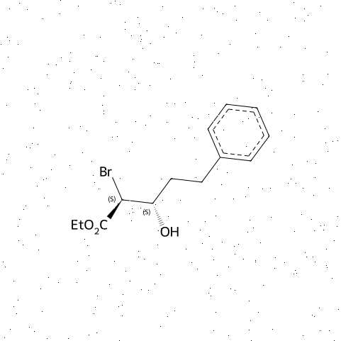 CCOC(=O)[C@@H](Br)[C@@H](O)CCc1ccccc1